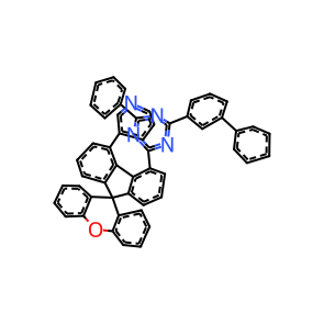 c1ccc(-c2cccc(-c3nc(-c4ccccc4)nc(-c4cccc5c4-c4c(-c6cccnc6)cccc4C54c5ccccc5Oc5ccccc54)n3)c2)cc1